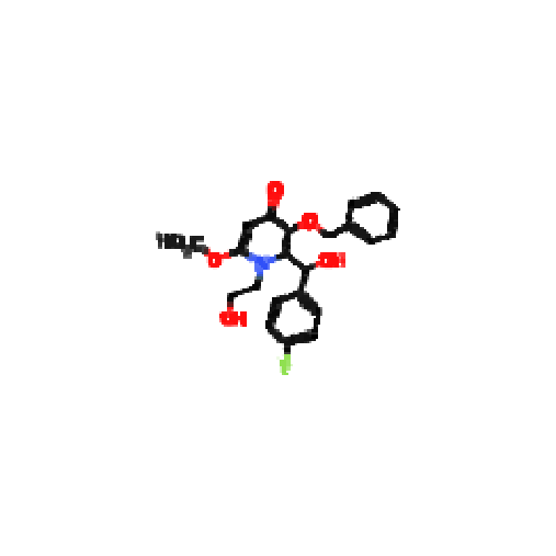 O=C(O)Oc1cc(=O)c(OCc2ccccc2)c(C(O)c2ccc(F)cc2)n1CCO